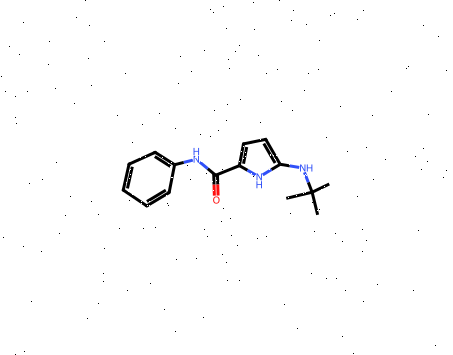 CC(C)(C)Nc1ccc(C(=O)Nc2ccccc2)[nH]1